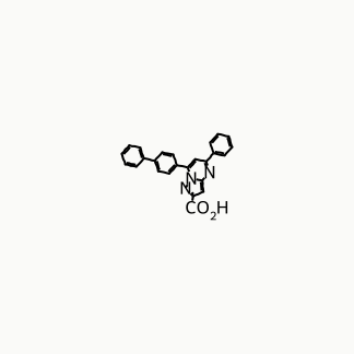 O=C(O)c1cc2nc(-c3ccccc3)cc(-c3ccc(-c4ccccc4)cc3)n2n1